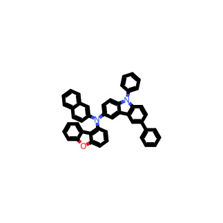 c1ccc(-c2ccc3c(c2)c2cc(N(c4ccc5ccccc5c4)c4cccc5oc6ccccc6c45)ccc2n3-c2ccccc2)cc1